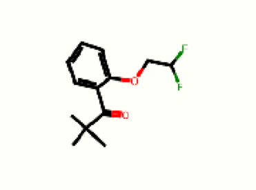 CC(C)(C)C(=O)c1ccccc1OCC(F)F